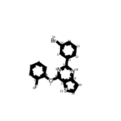 Fc1ccccc1Oc1nc(-c2cccc(Br)c2)nc2ccsc12